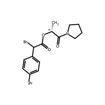 CC(C)c1ccc(C(Br)C(=O)O[C@H](C)C(=O)N2CCCC2)cc1